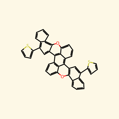 c1csc(-c2cc3c(oc4cccc5c4c3c3cccc4oc6c7ccccc7c(-c7cccs7)cc6c5c43)c3ccccc23)c1